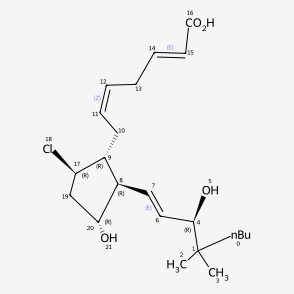 CCCCC(C)(C)[C@H](O)/C=C/[C@@H]1[C@@H](C/C=C\C/C=C/C(=O)O)[C@H](Cl)C[C@H]1O